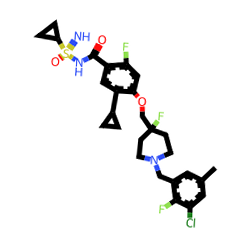 Cc1cc(Cl)c(F)c(CN2CCC(F)(COc3cc(F)c(C(=O)NS(=N)(=O)C4CC4)cc3C3CC3)CC2)c1